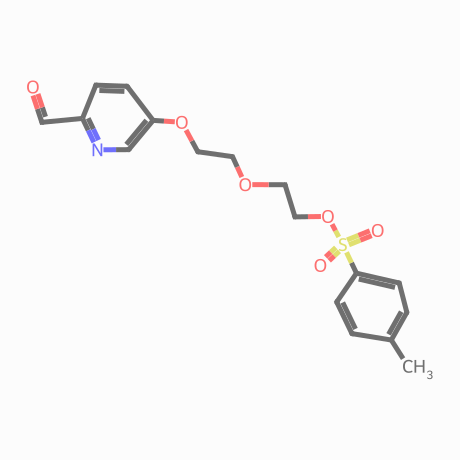 Cc1ccc(S(=O)(=O)OCCOCCOc2ccc(C=O)nc2)cc1